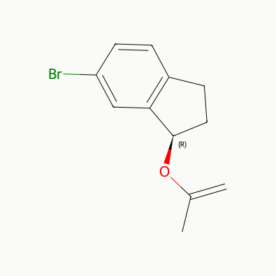 C=C(C)O[C@@H]1CCc2ccc(Br)cc21